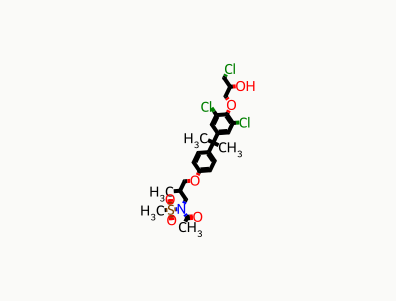 CC(=O)N(CC(C)COc1ccc(C(C)(C)c2cc(Cl)c(OCC(O)CCl)c(Cl)c2)cc1)S(C)(=O)=O